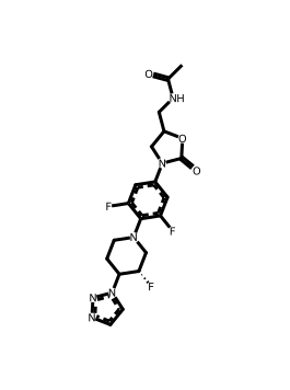 CC(=O)NCC1CN(c2cc(F)c(N3CCC(n4ccnn4)[C@@H](F)C3)c(F)c2)C(=O)O1